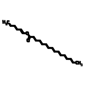 CCCC/C=C/OC(=O)CCCCCCCCCCCCCCC